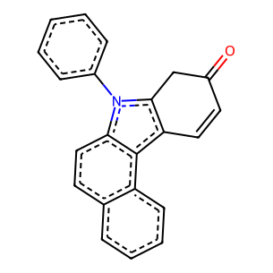 O=C1C=Cc2c(n(-c3ccccc3)c3ccc4ccccc4c23)C1